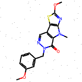 COc1cccc(Cn2ncc3c4sc(OC)nc4n(C)c3c2=O)c1